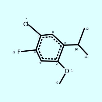 COc1cc(F)c(Cl)cc1C(C)C